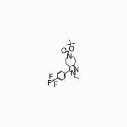 CCn1nc2c(c1-c1ccc(C(F)(F)F)cc1)CCN(C(=O)OC(C)(C)C)CC2